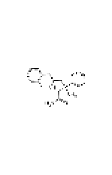 CC(CC(N)=O)(CC1Cc2ccccc2CN1)c1ccccc1